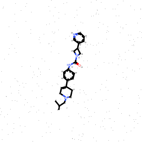 C[C](C)CN1CC=C(c2ccc(NC(=O)N3CC(c4cccnc4)C3)cc2)CC1